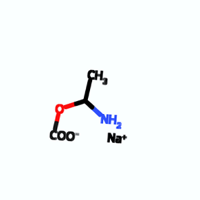 CC(N)OC(=O)[O-].[Na+]